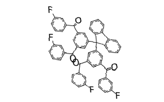 O=C(c1cccc(F)c1)c1cc(C(=O)c2cccc(F)c2)cc(C2(c3cc(C(=O)c4cccc(F)c4)cc(C(=O)c4cccc(F)c4)c3)c3ccccc3-c3ccccc32)c1